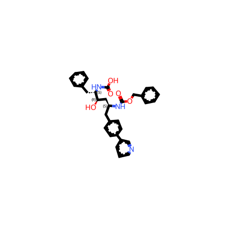 O=C(O)N[C@@H](Cc1ccccc1)[C@H](O)C[C@H](Cc1ccc(-c2cccnc2)cc1)NC(=O)OCc1ccccc1